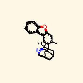 Cc1cc2oc3ccccc3c2cc1C12CC3CC(CN(C3)[C@@H]1C)C2